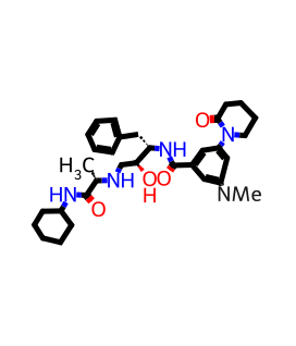 CNc1cc(C(=O)N[C@@H](Cc2ccccc2)[C@@H](O)CN[C@@H](C)C(=O)NC2CCCCC2)cc(N2CCCCC2=O)c1